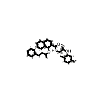 CC(CCc1ccccc1)Oc1c(C(=O)N[C@@H](Cc2ccc(F)cc2)C(=O)O)ccc2ccccc12